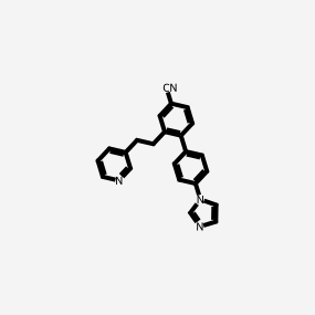 N#Cc1ccc(-c2ccc(-n3ccnc3)cc2)c(CCc2cccnc2)c1